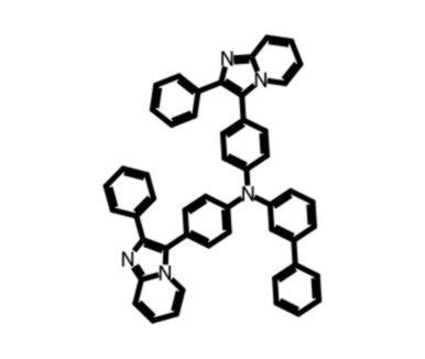 c1ccc(-c2cccc(N(c3ccc(-c4c(-c5ccccc5)nc5ccccn45)cc3)c3ccc(-c4c(-c5ccccc5)nc5ccccn45)cc3)c2)cc1